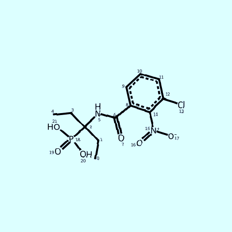 CCC(CC)(NC(=O)c1cccc(Cl)c1[N+](=O)[O-])P(=O)(O)O